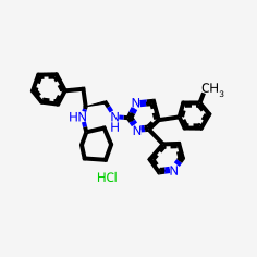 Cc1cccc(-c2cnc(NC[C@H](Cc3ccccc3)NC3CCCCC3)nc2-c2ccncc2)c1.Cl